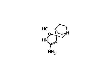 Cl.NC1=CC2(CN3CCC2CC3)ON1